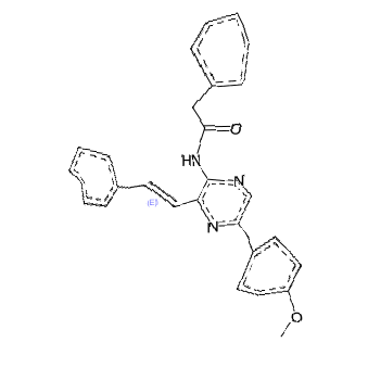 COc1ccc(-c2cnc(NC(=O)Cc3ccccc3)c(/C=C/c3ccccc3)n2)cc1